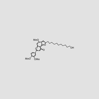 COc1ccc(-c2cc(=O)c3c(cc(OC)c4cc(CCCCCCCCCCCO)oc43)o2)cc1OC